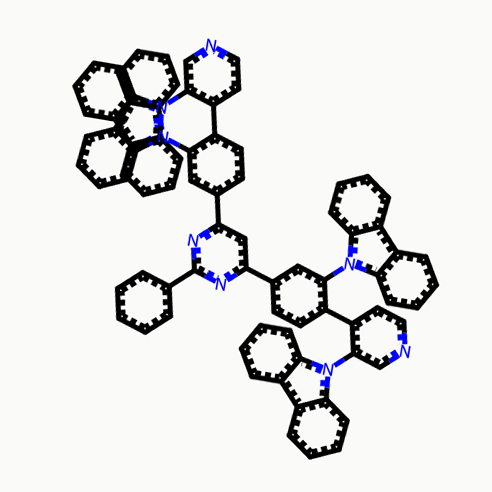 c1ccc(-c2nc(-c3ccc(-c4ccncc4-n4c5ccccc5c5ccccc54)c(-n4c5ccccc5c5ccccc54)c3)cc(-c3ccc(-c4ccncc4-n4c5ccccc5c5ccccc54)c(-n4c5ccccc5c5ccccc54)c3)n2)cc1